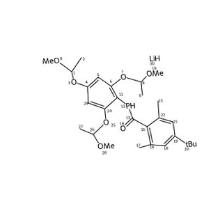 COC(C)Oc1cc(OC(C)OC)c(PC(=O)c2c(C)cc(C(C)(C)C)cc2C)c(OC(C)OC)c1.[LiH]